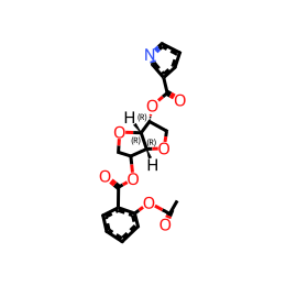 CC(=O)Oc1ccccc1C(=O)OC1CO[C@H]2[C@@H]1OC[C@H]2OC(=O)c1cccnc1